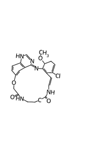 COC1CC=C(Cl)C2=C1/N=C1\N=CNc3ccc(cc31)OCC(=O)NCCCC(=O)N/C=C/2